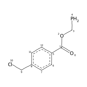 O=C(OCP)c1ccc(CCl)cc1